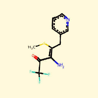 CSC(Cc1cccnc1)=C(N)C(=O)C(F)(F)F